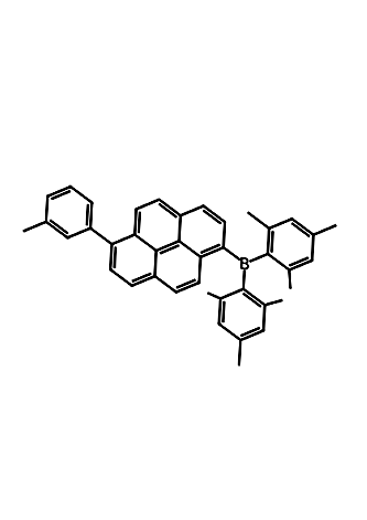 Cc1cccc(-c2ccc3ccc4c(B(c5c(C)cc(C)cc5C)c5c(C)cc(C)cc5C)ccc5ccc2c3c54)c1